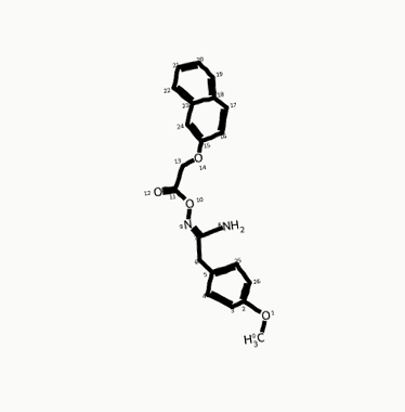 COc1ccc(C/C(N)=N/OC(=O)COc2ccc3ccccc3c2)cc1